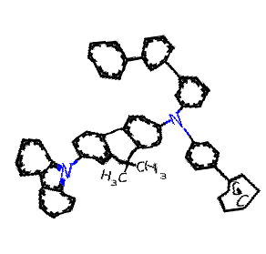 CC1(C)c2cc(N(c3ccc(C45CCC(CC4)CC5)cc3)c3cccc(-c4cccc(-c5ccccc5)c4)c3)ccc2-c2ccc(-n3c4ccccc4c4ccccc43)cc21